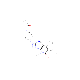 Cc1c(C)c2cnc(N[C@H]3CC[C@H](NC(=O)C(C)C)CC3)nc2n(C(C)C)c1=O